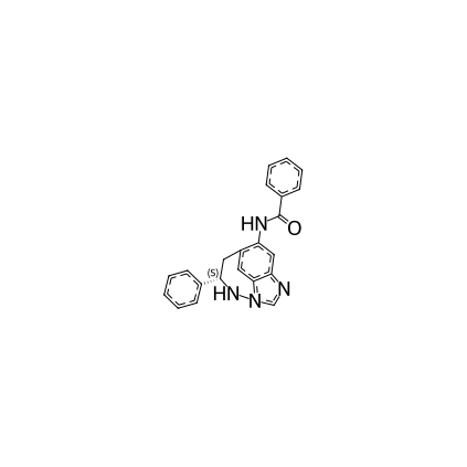 O=C(Nc1cc2ncn3c2cc1C[C@@H](c1ccccc1)N3)c1ccccc1